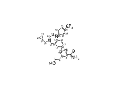 NC(=O)c1cc(CCO)cc(-c2ccc3c(c2)CN(CC2CC2)CCN3c2ccc(C(F)(F)F)cc2)n1